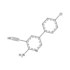 C#Cc1cc(-c2ccc(Cl)cc2)cnc1N